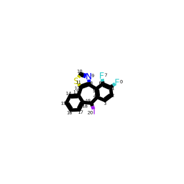 Fc1ccc2c(c1F)-c1ncsc1-c1ccccc1C2I